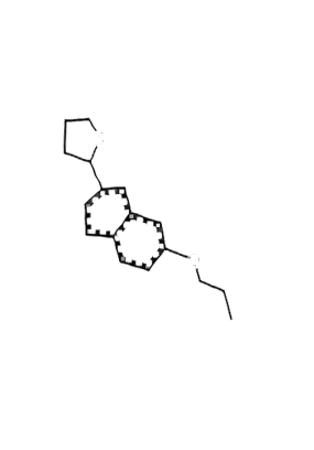 CCCOc1ccc2ccc(C3CCCS3)cc2c1